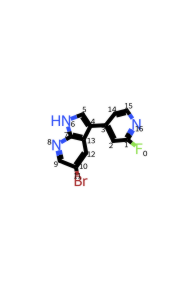 Fc1cc(-c2c[nH]c3ncc(Br)cc23)ccn1